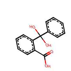 O=C(O)c1ccccc1C(O)(O)c1ccccc1